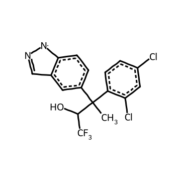 CC(c1ccc2c(c1)C=N[N]2)(c1ccc(Cl)cc1Cl)C(O)C(F)(F)F